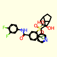 O=C(Nc1ccc(F)c(F)c1)c1ccc(Cl)c(S(=O)(=O)[C@H]2CC3CCC(C2)[C@]3(O)C(O)Cc2cccnc2)c1